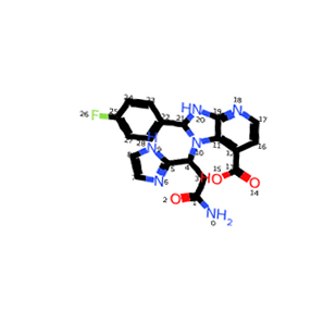 NC(=O)CC(c1ncc[nH]1)N1c2c(C(=O)O)ccnc2NC1c1ccc(F)cc1